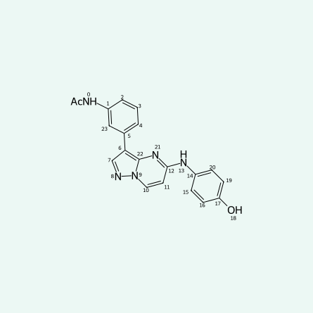 CC(=O)Nc1cccc(-c2cnn3ccc(Nc4ccc(O)cc4)nc23)c1